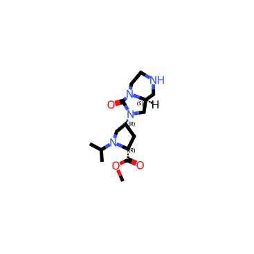 COC(=O)[C@H]1C[C@@H](N2C[C@@H]3CNCCN3C2=O)CN1C(C)C